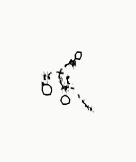 [N-]=[N+]=NCCOCCOCCOCC(=O)OCC(COCc1cn(C2CCCCCCC2)nn1)(COCc1cn(C2CCCCC2)nn1)COCc1cn(C23CCCCCCCC2C3)nn1